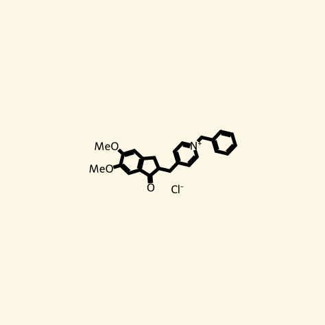 COc1cc2c(cc1OC)C(=O)C(Cc1cc[n+](Cc3ccccc3)cc1)C2.[Cl-]